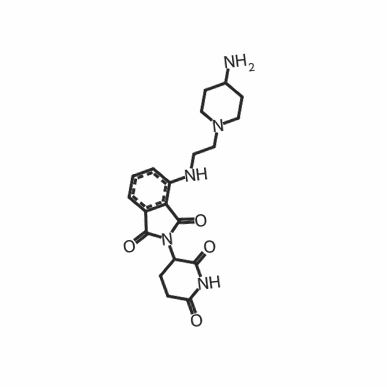 NC1CCN(CCNc2cccc3c2C(=O)N(C2CCC(=O)NC2=O)C3=O)CC1